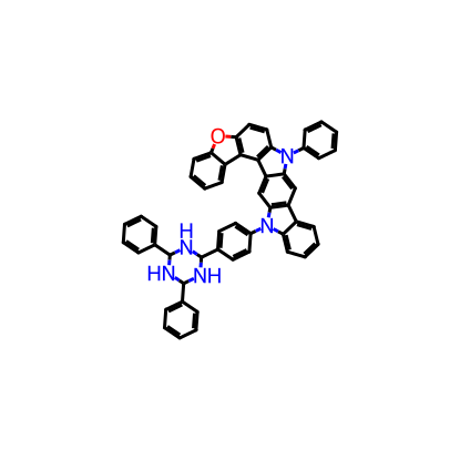 c1ccc(C2NC(c3ccccc3)NC(c3ccc(-n4c5ccccc5c5cc6c(cc54)c4c5c(ccc4n6-c4ccccc4)oc4ccccc45)cc3)N2)cc1